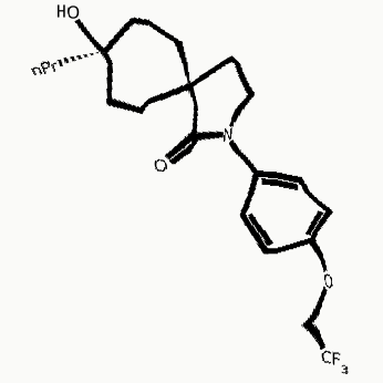 CCC[C@]1(O)CC[C@]2(CCN(c3ccc(OCC(F)(F)F)cc3)C2=O)CC1